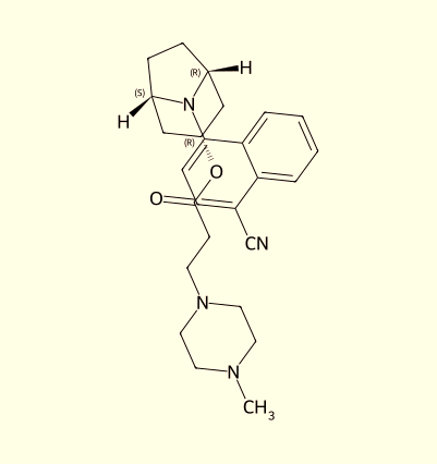 CN1CCN(CCC(=O)O[C@H]2C[C@H]3CC[C@@H](C2)N3c2ccc(C#N)c3ccccc23)CC1